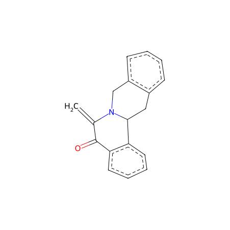 C=C1C(=O)c2ccccc2C2Cc3ccccc3CN12